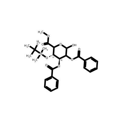 COC(=O)C1OC(O)C(OC(=O)c2ccccc2)[C@@H](OC(=O)c2ccccc2)[C@@H]1O[Si](C)(C)C(C)(C)C